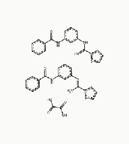 N=C(Nc1cccc(NC(=O)c2ccccc2)c1)c1cccs1.NC(=Nc1cccc(NC(=O)c2ccccc2)c1)c1cccs1.O=C(O)C(=O)O